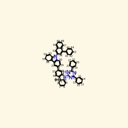 C1=CC[C@H]2C(=C1)N([C@H]1N=C(c3ccccc3)N=C(c3ccccc3)N1)c1cc(-c3ccc4c(c3)c3c(n4-c4cc(-c5ccccc5)c5ccccc5c4)C=CCC3)ccc12